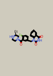 CC[C@H]1CN(C(=O)c2cc(Cn3c(=O)[nH]c(=O)c4ccccc43)ccc2F)CCN1